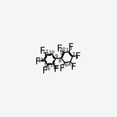 FC1=C(F)C(F)C(F)C(c2cc(F)c(F)c(F)c2F)=C1F